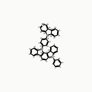 c1ccc(-n2c3ccccc3c3c2ccc2c4ccccc4n(-c4ccc(-n5c6ccccc6c6cnccc65)cc4)c23)cc1